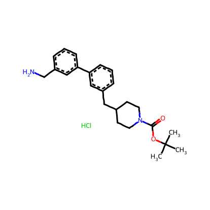 CC(C)(C)OC(=O)N1CCC(Cc2cccc(-c3cccc(CN)c3)c2)CC1.Cl